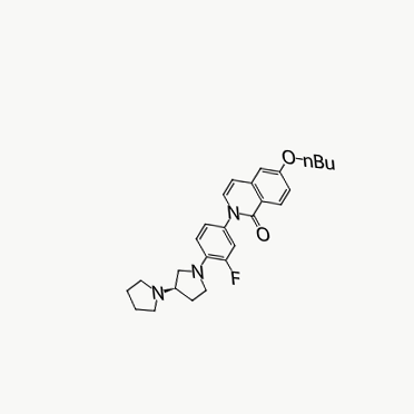 CCCCOc1ccc2c(=O)n(-c3ccc(N4CC[C@@H](N5CCCC5)C4)c(F)c3)ccc2c1